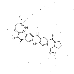 COCC1CCCN1C(=O)c1cc(Nc2ccc3c(c2)c2c(c(=O)n3C)OCC[C@H](C)N2)c(Cl)cn1